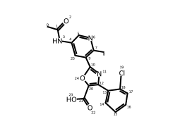 CC(=O)Nc1cnc(C)c(-c2nc(-c3ccccc3Cl)c(C(=O)O)o2)c1